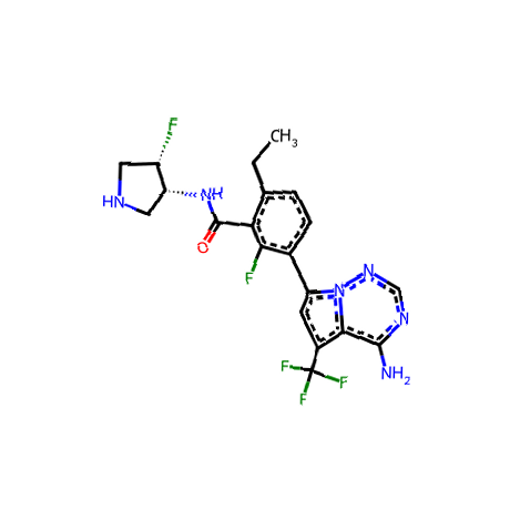 CCc1ccc(-c2cc(C(F)(F)F)c3c(N)ncnn23)c(F)c1C(=O)N[C@@H]1CNC[C@@H]1F